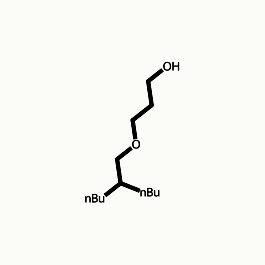 CCCCC(CCCC)COCCCO